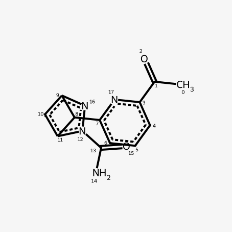 CC(=O)c1cccc(C2c3[c]c2n(C(N)=O)n3)n1